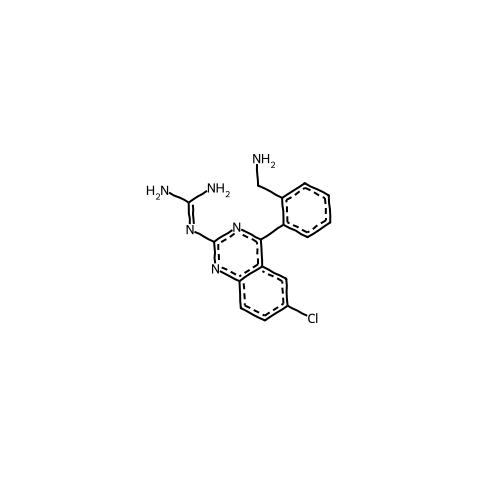 NCc1ccccc1-c1nc(N=C(N)N)nc2ccc(Cl)cc12